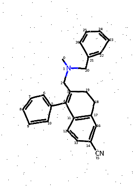 CN(CC1=C(c2ccccc2)c2ccc(C#N)cc2CC1)Cc1ccccc1